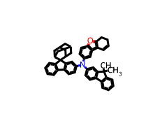 CC1(C)c2ccccc2-c2ccc(N(c3ccc4c(c3)C3(c5ccccc5-4)C4CC5CC(C4)CC3C5)c3ccc4oc5c(c4c3)C=CCC5)cc21